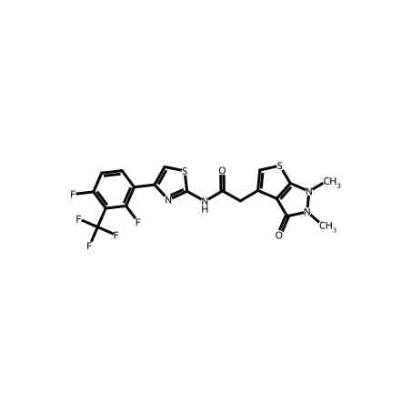 Cn1c(=O)c2c(CC(=O)Nc3nc(-c4ccc(F)c(C(F)(F)F)c4F)cs3)csc2n1C